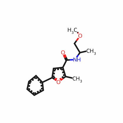 COCC(C)NC(=O)c1cc(-c2ccccc2)oc1C